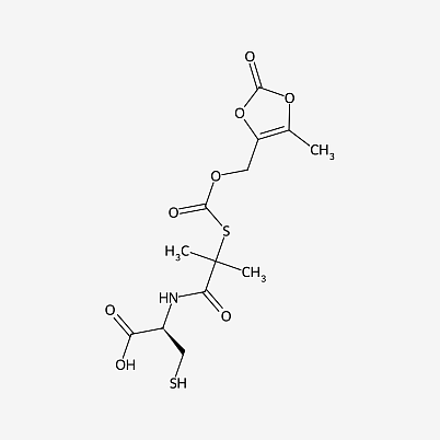 Cc1oc(=O)oc1COC(=O)SC(C)(C)C(=O)N[C@@H](CS)C(=O)O